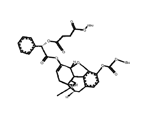 CCCCOC(=O)CCC(=O)O[C@H](C(=O)OC1=CC[C@@]2(O)[C@H]3Cc4ccc(OC(=O)OC(C)(C)C)c5c4[C@@]2(CCN3C)[C@H]1O5)c1ccccc1